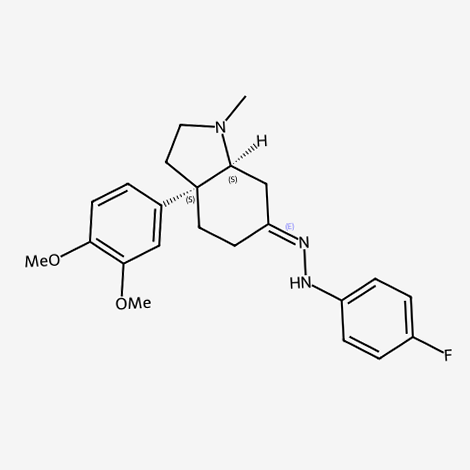 COc1ccc([C@@]23CC/C(=N\Nc4ccc(F)cc4)C[C@@H]2N(C)CC3)cc1OC